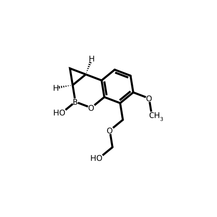 COc1ccc2c(c1COCO)OB(O)[C@H]1C[C@@H]21